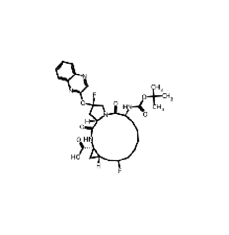 CC(C)(C)OC(=O)N[C@H]1CCCCCC(F)C[C@@H]2C[C@@]2(C(=O)O)NC(=O)[C@@H]2C[C@](F)(Oc3cnc4ccccc4n3)CN2C1=O